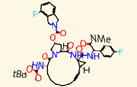 CNC(=O)[C@H](NC(=O)[C@@]12C[C@H]1/C=C\CCCCC[C@H](NC(=O)OC(C)(C)C)C(=O)N1C[C@H](OC(=O)N3Cc4cccc(F)c4C3)C[C@H]1C(=O)N2)c1ccc(F)cc1